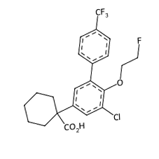 O=C(O)C1(c2cc(Cl)c(OCCF)c(-c3ccc(C(F)(F)F)cc3)c2)CCCCC1